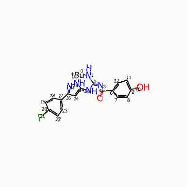 CC(C)(C)N/C(=N/C(=O)c1ccc(O)cc1)Nc1cc(-c2ccc(F)cc2)n[nH]1